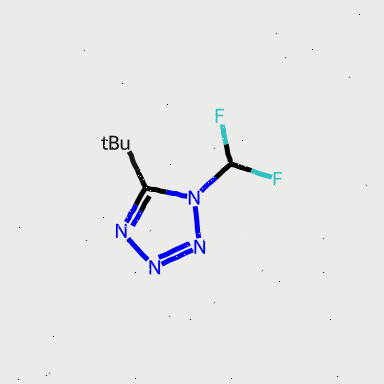 CC(C)(C)c1nnnn1C(F)F